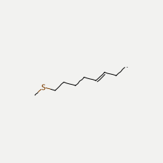 [CH2]CC=CCCCCSC